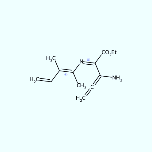 C=C=C(N)/C(=N\C(C)=C(/C)C=C)C(=O)OCC